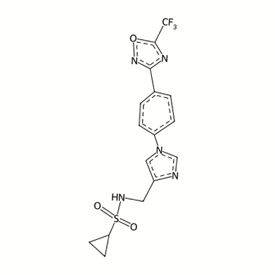 O=S(=O)(NCc1cn(-c2ccc(-c3noc(C(F)(F)F)n3)cc2)cn1)C1CC1